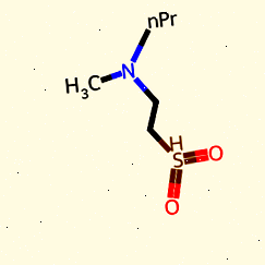 CCCN(C)CC[SH](=O)=O